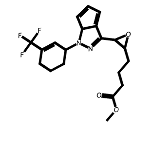 COC(=O)CCCC1OC1C1=NN(C2C=C(C(F)(F)F)CCC2)C2C=CC=C12